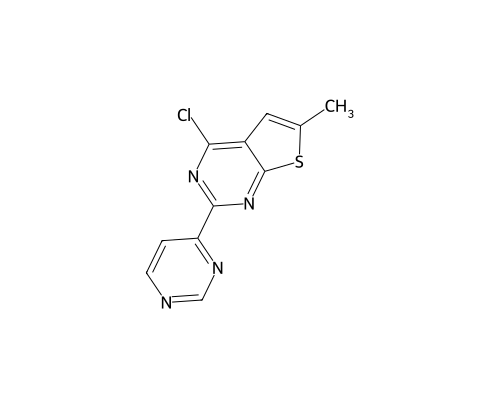 Cc1cc2c(Cl)nc(-c3ccncn3)nc2s1